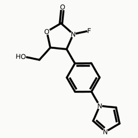 O=C1OC(CO)C(c2ccc(-n3ccnc3)cc2)N1F